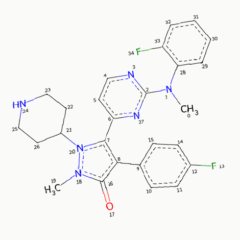 CN(c1nccc(-c2c(-c3ccc(F)cc3)c(=O)n(C)n2C2CCNCC2)n1)c1ccccc1F